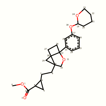 COC(=O)C1CC1CCC12COC3(c4cccc(OC5CCCCO5)c4)CCC13C2